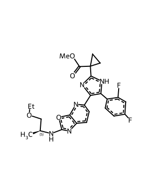 CCOC[C@H](C)Nc1nc2ccc(-c3nc(C4(C(=O)OC)CC4)[nH]c3-c3ccc(F)cc3F)nc2o1